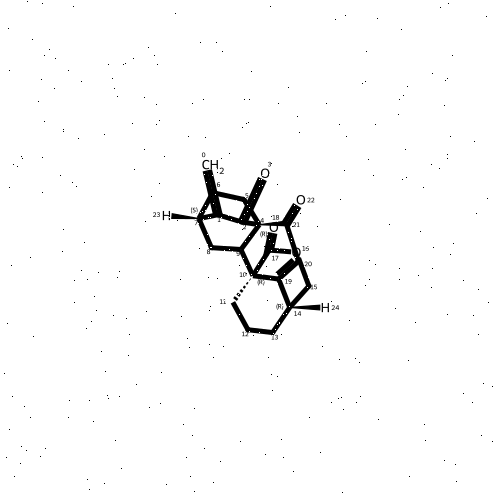 C=C1C(=O)[C@]23CC[C@H]1CC2[C@@]12CCC[C@@H](COC1=O)C2=CC3=O